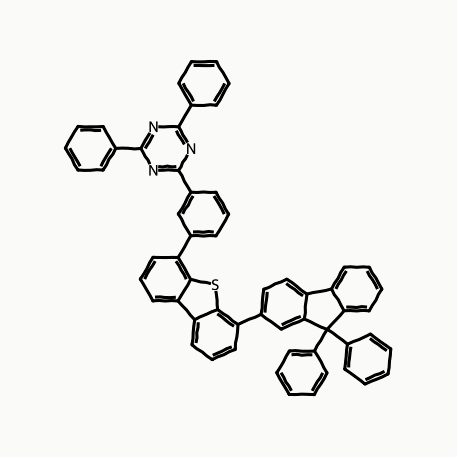 c1ccc(-c2nc(-c3ccccc3)nc(-c3cccc(-c4cccc5c4sc4c(-c6ccc7c(c6)C(c6ccccc6)(c6ccccc6)c6ccccc6-7)cccc45)c3)n2)cc1